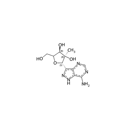 C[C@@]1(O)[C@H](O)C(CO)O[C@H]1c1n[nH]c2c(N)ncnc12